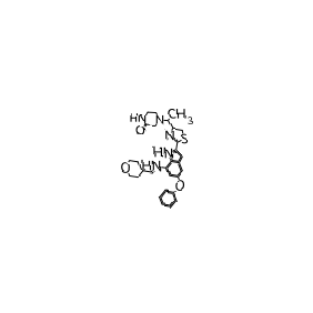 CC(C1CSC(c2cc3cc(Oc4ccccc4)cc(NCC4CCOCC4)c3[nH]2)=N1)N1CCNC(=O)C1